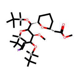 COC(=O)C[C@H]1CCC[C@@H](C(O[Si](C)(C)C(C)(C)C)C(O[Si](C)(C)C(C)(C)C)[C@@H](OC)C(/C=C/I)O[Si](C)(C)C(C)(C)C)O1